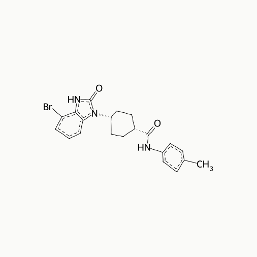 Cc1ccc(NC(=O)[C@H]2CC[C@@H](n3c(=O)[nH]c4c(Br)cccc43)CC2)cc1